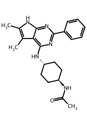 CC(=O)N[C@H]1CC[C@H](Nc2nc(-c3ccccc3)nc3[nH]c(C)c(C)c23)CC1